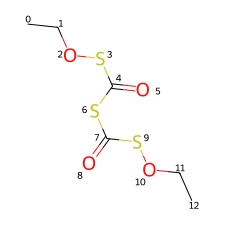 CCOSC(=O)SC(=O)SOCC